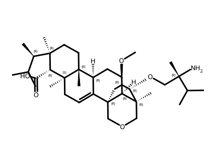 CO[C@@H]1C[C@@]23COC[C@@](C)([C@@H]2CC[C@H]2C3=CC[C@@]3(C)[C@H](C(=O)O)[C@@](C)([C@H](C)C(C)C)CC[C@]23C)[C@H]1OC[C@](C)(N)C(C)C